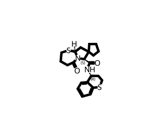 O=C(N[C@@H]1CCSc2ccccc21)[C@H]1N2C(=O)CCCS[C@H]2CC12CCCC2